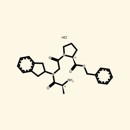 C[C@H](N)C(=O)N(CC(=O)N1CCC[C@H]1C(=O)OCc1ccccc1)C1Cc2ccccc2C1.Cl